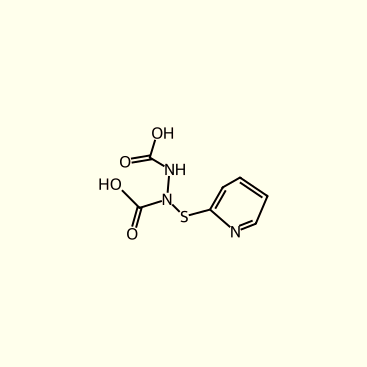 O=C(O)NN(Sc1ccccn1)C(=O)O